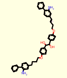 Nc1cc(/C=C/CCOc2ccc(C(O)C(O)c3ccc(OCCCCc4ccc(-c5ccccc5)c(N)c4)cc3)cc2)ccc1-c1ccccc1